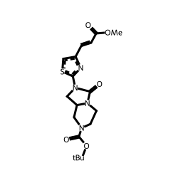 COC(=O)C=Cc1csc(N2CC3CN(C(=O)OC(C)(C)C)CCN3C2=O)n1